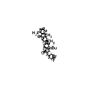 CCCCC1CN(CC2CCC(F)(F)CC2)C(=O)OC12CCN(C1(C)CCN(C(=O)c3c(C)ncnc3C)CC1)CC2